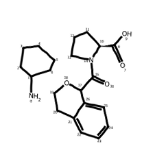 NC1CCCCC1.O=C(O)[C@@H]1CCCN1C(=O)C1OCCc2ccccc21